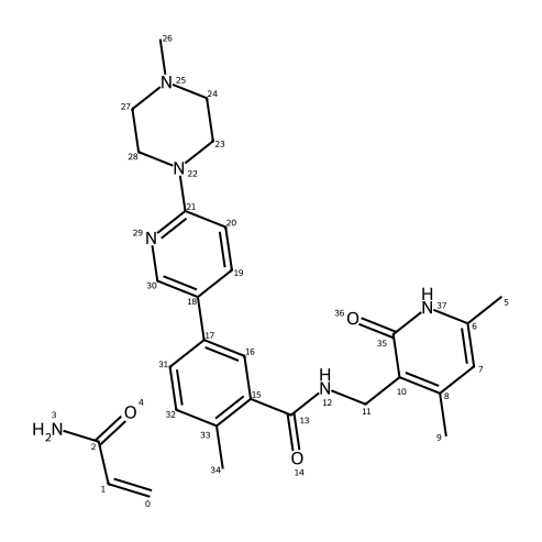 C=CC(N)=O.Cc1cc(C)c(CNC(=O)c2cc(-c3ccc(N4CCN(C)CC4)nc3)ccc2C)c(=O)[nH]1